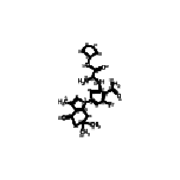 Cc1cn(-c2cc(F)c(C(N)=O)c(NC(N)C(=O)OC3CCCC3)c2)c2c1C(=O)CC(C)(C)C2